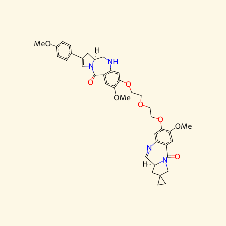 COc1ccc(C2=CN3C(=O)c4cc(OC)c(OCCOCCOc5cc6c(cc5OC)C(=O)N5CC7(CC7)C[C@H]5C=N6)cc4NC[C@@H]3C2)cc1